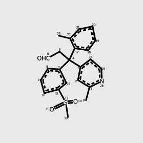 Cc1cc(C(CC=O)(c2cccc(S(C)(=O)=O)c2)c2ccccc2C)ccn1